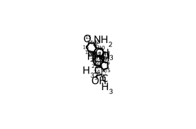 CC(CO)[C@H]1CC[C@H]2[C@@H]3CCC4=C(N)C(=O)CC[C@]4(C)[C@H]3CC[C@]12C.Cl